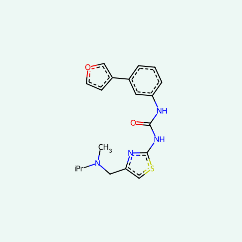 CC(C)N(C)Cc1csc(NC(=O)Nc2cccc(-c3ccoc3)c2)n1